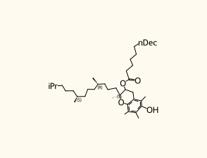 CCCCCCCCCCCCCCCC(=O)OC1Cc2c(C)c(O)c(C)c(C)c2O[C@@]1(C)CCC[C@H](C)CCC[C@@H](C)CCCC(C)C